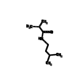 CC(C)CCNC(=O)C(C)C